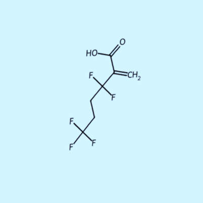 C=C(C(=O)O)C(F)(F)CCC(F)(F)F